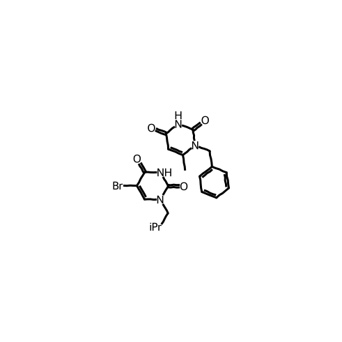 CC(C)Cn1cc(Br)c(=O)[nH]c1=O.Cc1cc(=O)[nH]c(=O)n1Cc1ccccc1